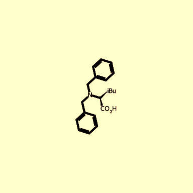 CC[C@H](C)[C@@H](C(=O)O)N(Cc1ccccc1)Cc1ccccc1